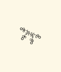 O=C(CCSC1=C(SCCC(=O)Oc2ccccc2)SC(C2SC(SCCC(=O)Oc3ccccc3)=C(SCCC(=O)Oc3ccccc3)S2)S1)Oc1ccccc1